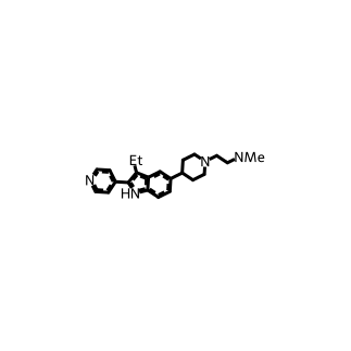 CCc1c(-c2ccncc2)[nH]c2ccc(C3CCN(CCNC)CC3)cc12